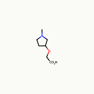 CN1CCC(OCC(=O)O)C1